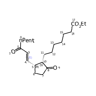 CCCCCC(=O)/C=C/[C@H]1CCC(=O)[C@H]1CCCCCCC(=O)OCC